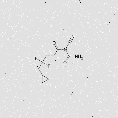 N#CN(C(N)=O)C(=O)[CH]CC(F)(F)CC1CC1